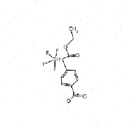 CCOC(=O)C(c1ccc([N+](=O)[O-])cc1)[SH](F)(F)(F)F